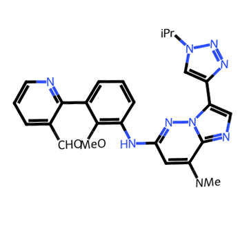 CNc1cc(Nc2cccc(-c3ncccc3C=O)c2OC)nn2c(-c3cn(C(C)C)nn3)cnc12